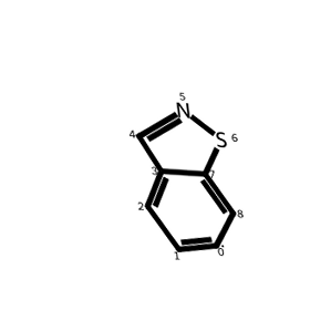 [c]1ccc2cnsc2c1